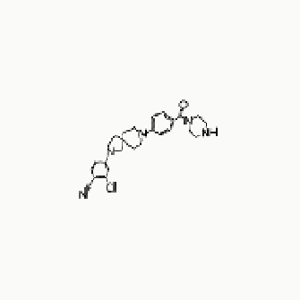 N#Cc1ccc(N2CCC3(CCN(c4ccc(C(=O)N5CCNCC5)cc4)CC3)C2)cc1Cl